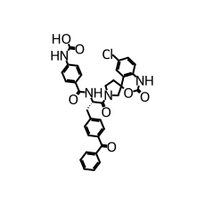 O=C(O)Nc1ccc(C(=O)N[C@@H](Cc2ccc(C(=O)c3ccccc3)cc2)C(=O)N2CCC3(C2)OC(=O)Nc2ccc(Cl)cc23)cc1